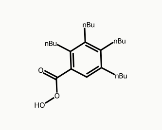 CCCCc1cc(C(=O)OO)c(CCCC)c(CCCC)c1CCCC